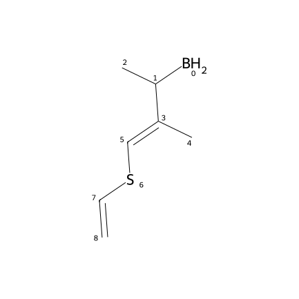 BC(C)/C(C)=C/SC=C